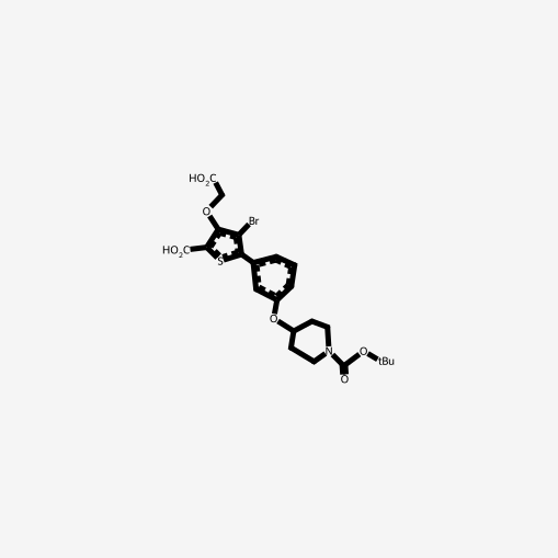 CC(C)(C)OC(=O)N1CCC(Oc2cccc(-c3sc(C(=O)O)c(OCC(=O)O)c3Br)c2)CC1